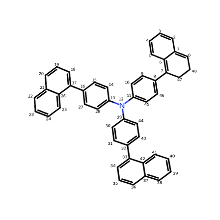 C1=c2ccccc2=C(c2ccc(N(c3ccc(-c4cccc5ccccc45)cc3)c3ccc(-c4cccc5ccccc45)cc3)cc2)CC1